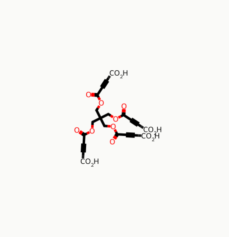 O=C(O)C#CC(=O)OCC(COC(=O)C#CC(=O)O)(COC(=O)C#CC(=O)O)COC(=O)C#CC(=O)O